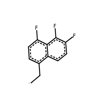 [CH2]Cc1ccc(F)c2c(F)c(F)ccc12